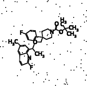 Cc1cc(C(C)OCC2(c3ccc(F)cc3)CCN(C(=O)OC(C)(C)C)CC2)c2nc(F)ccc2c1